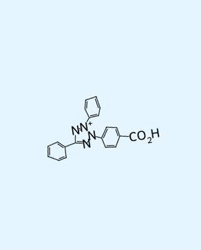 O=C(O)c1ccc(-n2nc(-c3ccccc3)n[n+]2-c2ccccc2)cc1